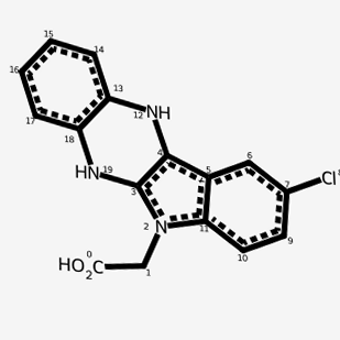 O=C(O)Cn1c2c(c3cc(Cl)ccc31)Nc1ccccc1N2